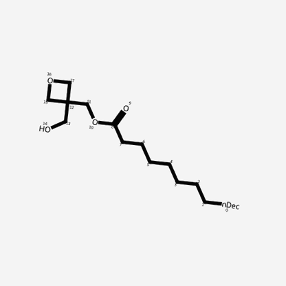 CCCCCCCCCCCCCCCCCC(=O)OCC1(CO)COC1